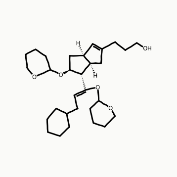 OCCCC1=C[C@@H]2C[C@H](OC3CCCCO3)[C@@H](C(=CCC3CCCCC3)OC3CCCCO3)[C@@H]2C1